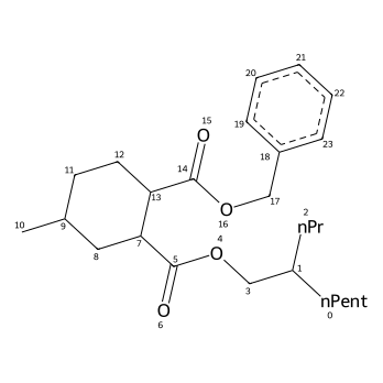 CCCCCC(CCC)COC(=O)C1CC(C)CCC1C(=O)OCc1ccccc1